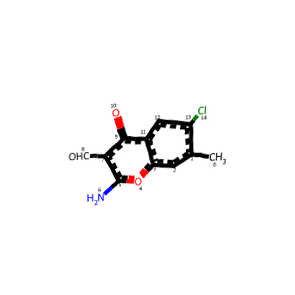 Cc1cc2oc(N)c(C=O)c(=O)c2cc1Cl